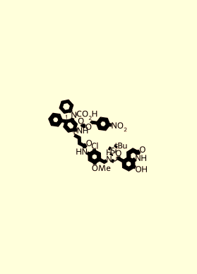 COc1cc(NC(=O)CCC[C@]2(NC(=O)OCc3ccc([N+](=O)[O-])cc3)C=C[C@@](C)(c3ccccc3)C(N(C(=O)O)C3CCCCC3)=C2)c(Cl)cc1CNC[C@H](O[Si](C)(C)C(C)(C)C)c1ccc(O)c2[nH]c(=O)ccc12